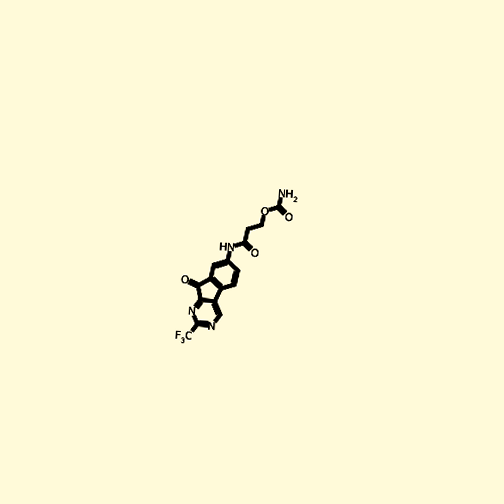 NC(=O)OCCC(=O)Nc1ccc2c(c1)C(=O)c1nc(C(F)(F)F)ncc1-2